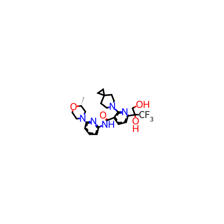 C[C@@H]1CN(c2cccc(NC(=O)c3ccc(C(O)(CO)C(F)(F)F)nc3N3CCC4(CC3)CC4)n2)CCO1